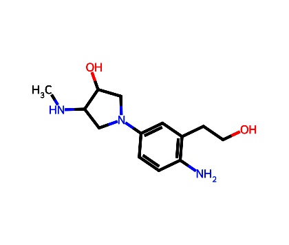 CNC1CN(c2ccc(N)c(CCO)c2)CC1O